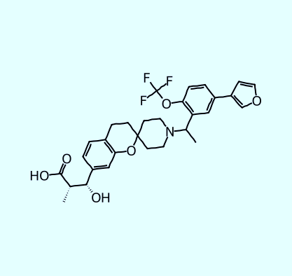 CC(c1cc(-c2ccoc2)ccc1OC(F)(F)F)N1CCC2(CCc3ccc([C@H](O)[C@H](C)C(=O)O)cc3O2)CC1